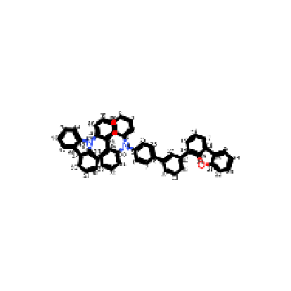 c1ccc(N(c2ccc(-c3cccc(-c4cccc5c4oc4ccccc45)c3)cc2)c2ccccc2-c2ccccc2-n2c3ccccc3c3ccccc32)cc1